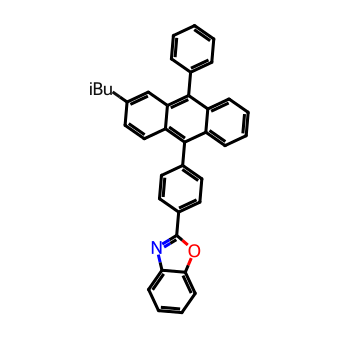 CCC(C)c1ccc2c(-c3ccc(-c4nc5ccccc5o4)cc3)c3ccccc3c(-c3ccccc3)c2c1